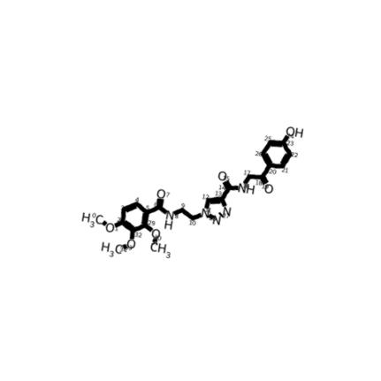 COc1ccc(C(=O)NCCn2cc(C(=O)NCC(=O)c3ccc(O)cc3)nn2)c(OC)c1OC